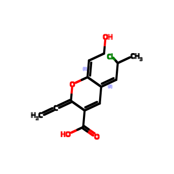 C=C=C1OC(=C/CO)/C(=C\C(C)Cl)C=C1C(=O)O